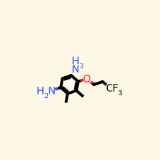 Cc1c(N)ccc(OCCC(F)(F)F)c1C.N